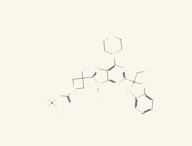 CCC1(c2nc(N3CCOCC3)c3nc(C4(O)CN(C(=O)OC(C)(C)C)C4)n(C)c3n2)Nc2ccccc2N1